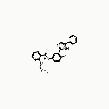 CCOc1ncccc1C(=O)Nc1ccc(Cl)c(-c2ncc(-c3ccccc3)[nH]2)c1